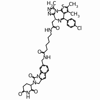 Cc1sc2c(c1C)C(c1ccc(Cl)cc1)=N[C@@H](CC(=O)NCCCCCC(=O)NCc1ccc3cc4n(c3c1)C(=O)N(C1CCC(=O)NC1=O)C4)c1nnc(C)n1-2